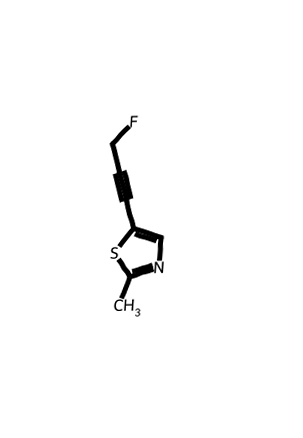 Cc1ncc(C#CCF)s1